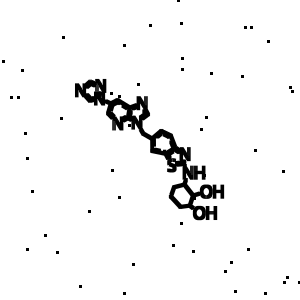 OC1CCCC(Nc2nc3ccc(Cn4cnc5cc(-n6cncn6)cnc54)cc3s2)C1O